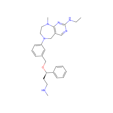 CCNc1ncc2c(n1)N(C)CCN(c1cccc(CO[C@H](CCNC)c3ccccc3)c1)C2